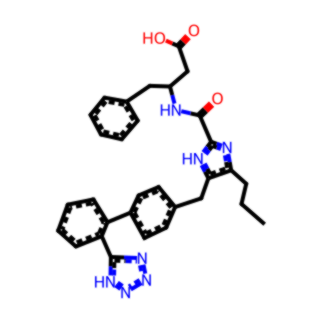 CCCc1nc(C(=O)NC(CC(=O)O)Cc2ccccc2)[nH]c1Cc1ccc(-c2ccccc2-c2nnn[nH]2)cc1